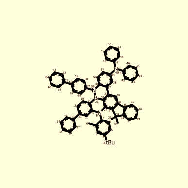 Cc1cc(C(C)(C)C)ccc1N1c2cc(-c3ccccc3)ccc2B2c3c(cc4c(c31)C(C)(C)c1ccccc1-4)-c1cc(N(c3ccccc3)c3ccccc3)ccc1N2c1ccc(-c2ccccc2)cc1